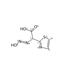 O=C(O)C(N=NO)c1nccs1